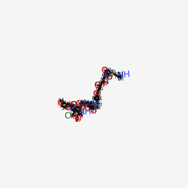 COC(=O)c1c(C)[nH]c2c1C1C(CCl)CN(C(=O)c3cc4cc(OC)ccc4o3)C1C=C2OC(=O)N(C)CCN(C)C(=O)C(C)(C)C(=O)N(C)/N=C(\C)c1ccc(OCCCC(=O)CCC(=O)CCCN2C(=O)CC(SCCCC(C)=N)C2=O)cc1